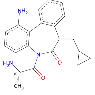 C[C@H](N)C(=O)N1C(=O)C(CC2CC2)c2ccccc2-c2c(N)cccc21